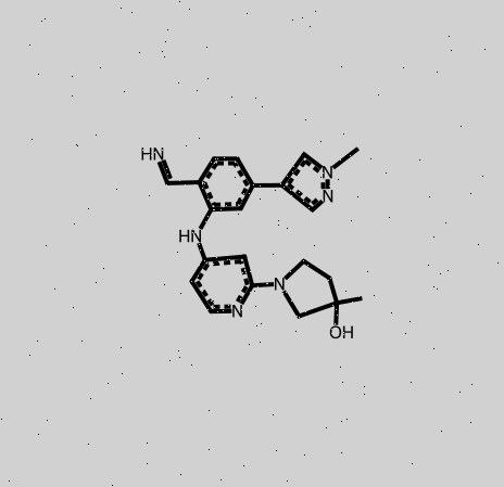 Cn1cc(-c2ccc(C=N)c(Nc3ccnc(N4CCC(C)(O)C4)c3)c2)cn1